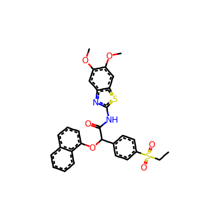 CCS(=O)(=O)c1ccc(C(Oc2cccc3ccccc23)C(=O)Nc2nc3cc(OC)c(OC)cc3s2)cc1